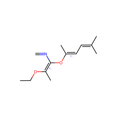 C=N/C(O/C(C)=C/C=C(C)C)=C(/C)OCC